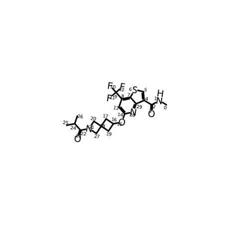 CNC(=O)c1csc2c(C(F)(F)F)cc(OC3CC4(C3)CN(C(=O)C(C)C)C4)nc12